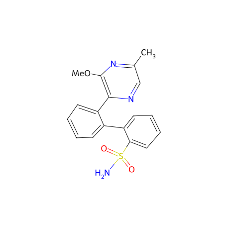 COc1nc(C)cnc1-c1ccccc1-c1ccccc1S(N)(=O)=O